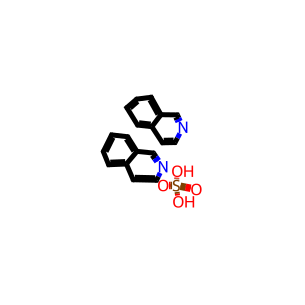 O=S(=O)(O)O.c1ccc2cnccc2c1.c1ccc2cnccc2c1